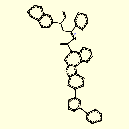 C=CC(C/C(=N\C(=C)c1cc2oc3cc(-c4cccc(-c5ccccc5)c4)ccc3c2c2ccccc12)c1ccccc1)c1ccc2ccccc2c1